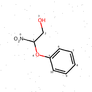 O=[N+]([O-])C(CO)Oc1ccccc1